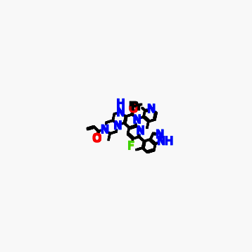 C=CC(=O)N1CC2CNc3c(c4cc(F)c(-c5c(C)ccc6[nH]ncc56)nc4n(-c4c(C)ccnc4C(C)C)c3=O)N2CC1C